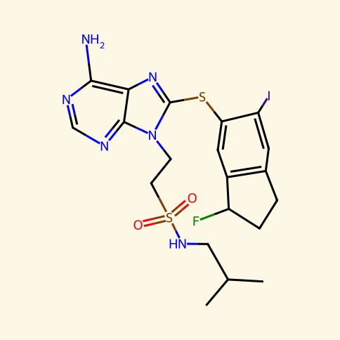 CC(C)CNS(=O)(=O)CCn1c(Sc2cc3c(cc2I)CCC3F)nc2c(N)ncnc21